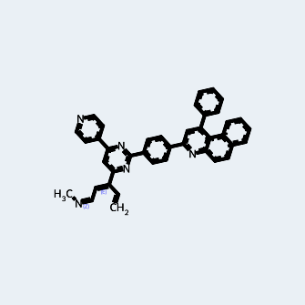 C=C/C(=C\C=N/C)c1cc(-c2ccncc2)nc(-c2ccc(-c3cc(-c4ccccc4)c4c(ccc5ccccc54)n3)cc2)n1